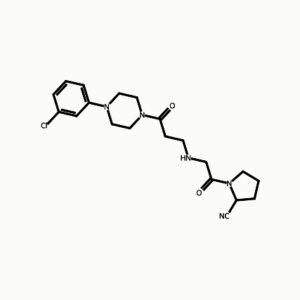 N#CC1CCCN1C(=O)CNCCC(=O)N1CCN(c2cccc(Cl)c2)CC1